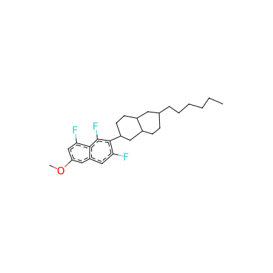 CCCCCCC1CCC2CC(c3c(F)cc4cc(OC)cc(F)c4c3F)CCC2C1